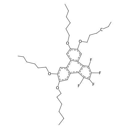 CCCCCCOc1cc2c3cc(OCCCCCC)c(OCCCCCC)cc3c3c(F)c(F)c(F)c(F)c3c2cc1OCCCCCC